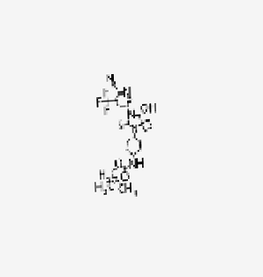 CC(C)(C)OC(=O)NC1CCC(N2C(=S)N(c3cnc(C#N)c(C(F)(F)F)c3)C(O)C23CCC3)CC1